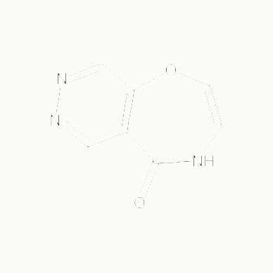 O=C1NC=COc2cnncc21